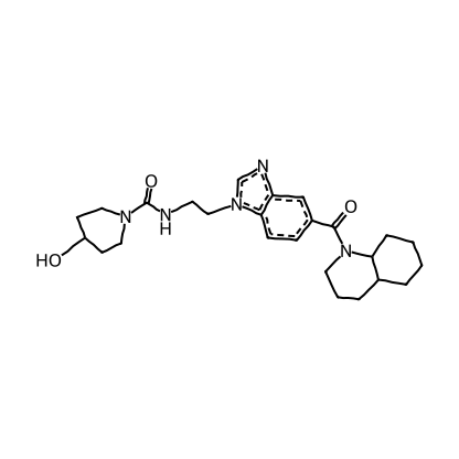 O=C(NCCn1cnc2cc(C(=O)N3CCCC4CCCCC43)ccc21)N1CCC(O)CC1